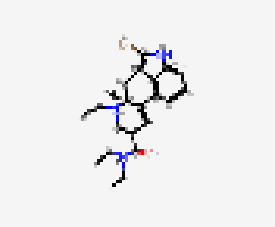 CCN(CC)C(=O)[C@@H]1C=C2c3cccc4[nH]c(Br)c(c34)C[C@H]2N(CC)C1